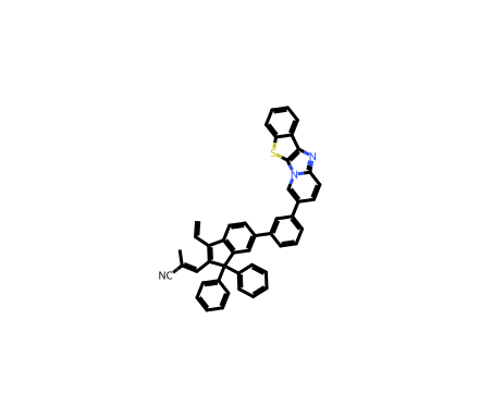 C=CC1=C(/C=C(\C)C#N)C(c2ccccc2)(c2ccccc2)c2cc(-c3cccc(-c4ccc5nc6c7ccccc7sc6n5c4)c3)ccc21